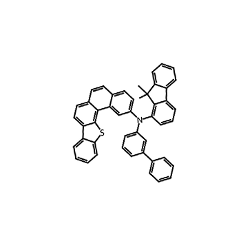 CC1(C)c2ccccc2-c2cccc(N(c3cccc(-c4ccccc4)c3)c3ccc4ccc5ccc6c7ccccc7sc6c5c4c3)c21